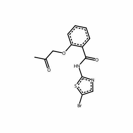 CC(=O)COc1ccccc1C(=O)Nc1ncc(Br)s1